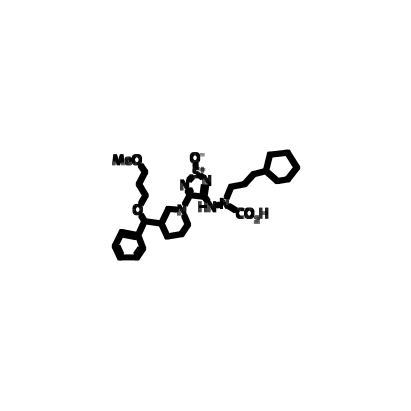 COCCCOC(c1ccccc1)C1CCCN(c2n[s+]([O-])nc2NN(CCCC2CCCCC2)C(=O)O)C1